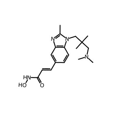 Cc1nc2cc(C=CC(=O)NO)ccc2n1CC(C)(C)CN(C)C